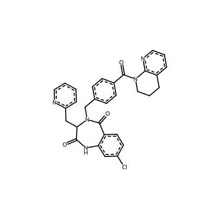 O=C1Nc2cc(Cl)ccc2C(=O)N(Cc2ccc(C(=O)N3CCCc4cccnc43)cc2)C1Cc1ccccn1